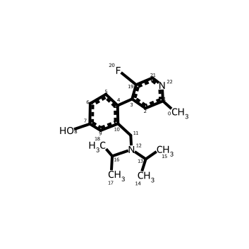 Cc1cc(-c2ccc(O)cc2CN(C(C)C)C(C)C)c(F)cn1